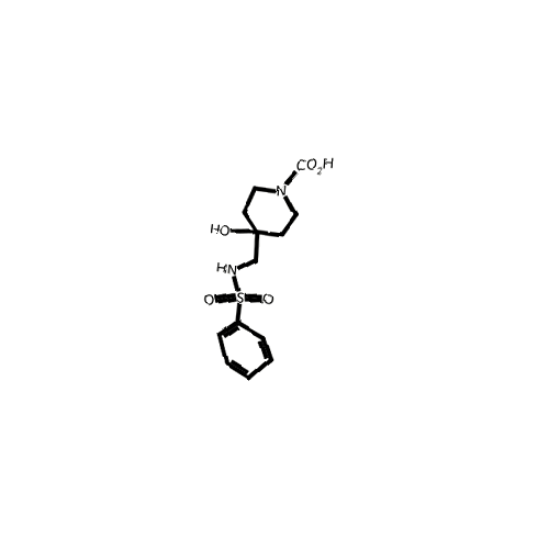 O=C(O)N1CCC(O)(CNS(=O)(=O)c2ccccc2)CC1